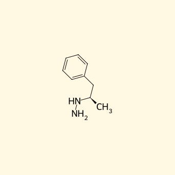 C[C@H](Cc1ccccc1)NN